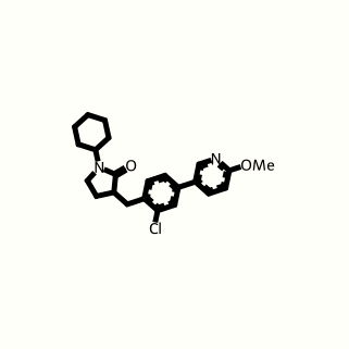 COc1ccc(-c2ccc(CC3CCN(C4CCCCC4)C3=O)c(Cl)c2)cn1